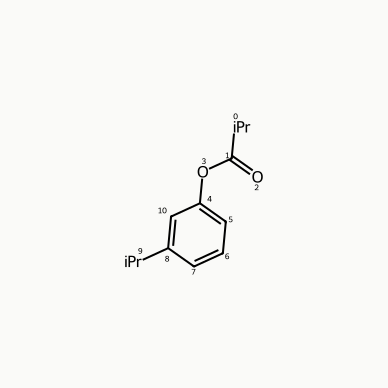 CC(C)C(=O)Oc1cccc(C(C)C)c1